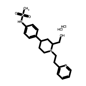 CS(=O)(=O)Nc1ccc(C2CCN(CCc3ccccn3)C(CO)C2)cc1.Cl.Cl